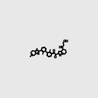 Cc1c(NC(=O)c2cc3n(n2)CCCC3NCCO)cccc1-c1cccc(-c2nc3c(s2)CCN(C)C3)c1C